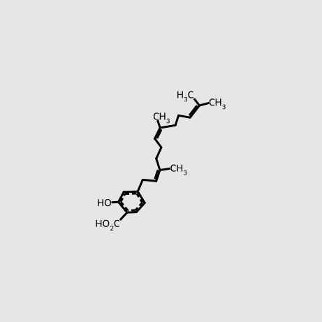 CC(C)=CCCC(C)=CCCC(C)=CCc1ccc(C(=O)O)c(O)c1